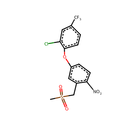 CS(=O)(=O)Cc1cc(Oc2ccc(C(F)(F)F)cc2Cl)ccc1[N+](=O)[O-]